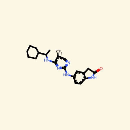 CC(Nc1nc(Nc2ccc3c(c2)CC(=O)N3)ncc1C(F)(F)F)C1CCCCC1